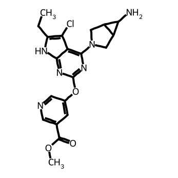 CCc1[nH]c2nc(Oc3cncc(C(=O)OC)c3)nc(N3CC4C(N)C4C3)c2c1Cl